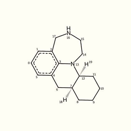 c1cc2c3c(c1)C[C@@H]1CCCC[C@@H]1N3CCNC2